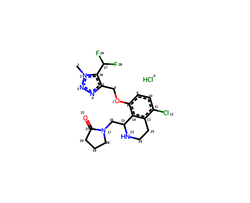 Cl.Cn1nnc(COc2ccc(Cl)c3c2C(CN2CCCC2=O)NCC3)c1C(F)F